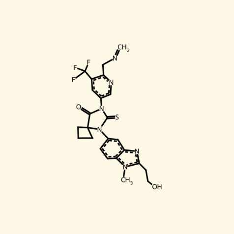 C=NCc1ncc(N2C(=O)C3(CCC3)N(c3ccc4c(c3)nc(CCO)n4C)C2=S)cc1C(F)(F)F